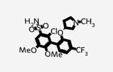 COc1cc(S(N)(=O)=O)c(Cl)c(-c2ccc(C(F)(F)F)cc2O[C@@H]2CCN(C)C2)c1OC